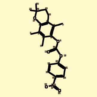 Cc1c(C)c2c(c(C)c1OC(=O)Oc1ccc([N+](=O)[O-])cc1)CCC(C)(C)O2